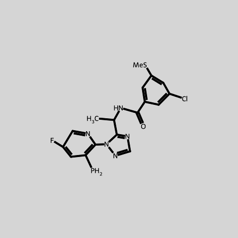 CSc1cc(Cl)cc(C(=O)NC(C)c2ncnn2-c2ncc(F)cc2P)c1